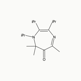 CC1=NC(C(C)C)=C(C(C)C)N(C(C)C)C(C)(C)C1=O